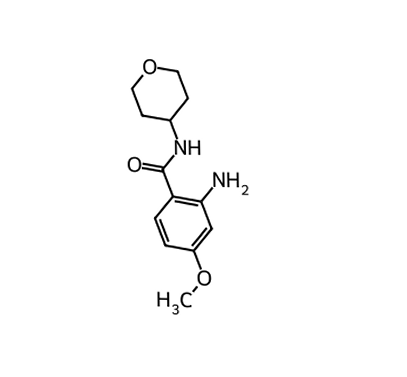 COc1ccc(C(=O)NC2CCOCC2)c(N)c1